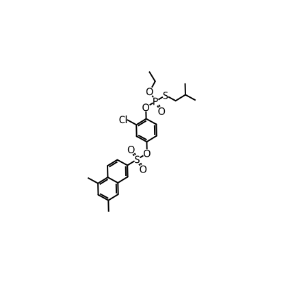 CCOP(=O)(Oc1ccc(OS(=O)(=O)c2ccc3c(C)cc(C)cc3c2)cc1Cl)SCC(C)C